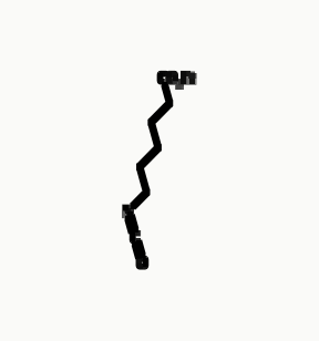 C[CH]OC(=O)CCCCCN=C=O